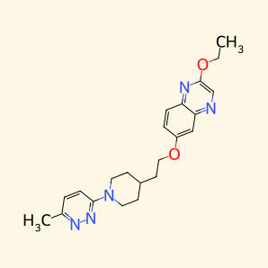 CCOc1cnc2cc(OCCC3CCN(c4ccc(C)nn4)CC3)ccc2n1